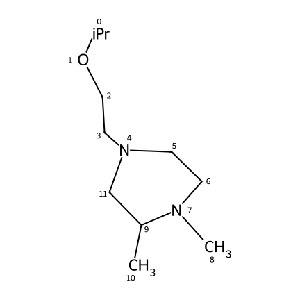 CC(C)OCCN1CCN(C)C(C)C1